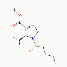 CCCC[S@+]([O-])N1CC=C(C(=O)OCC)[C@@H]1C(C)C